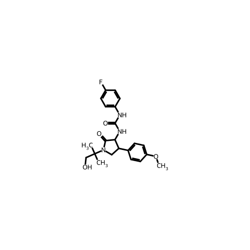 COc1ccc(C2CN(C(C)(C)CO)C(=O)C2NC(=O)Nc2ccc(F)cc2)cc1